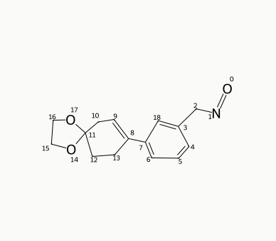 O=NCc1cccc(C2=CCC3(CC2)OCCO3)c1